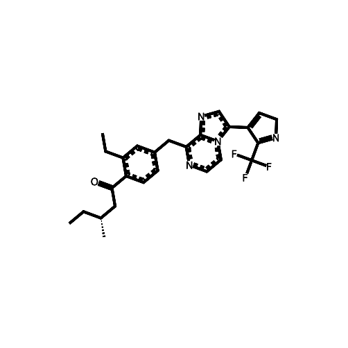 CCc1cc(Cc2nccn3c(C4=CCN=C4C(F)(F)F)cnc23)ccc1C(=O)C[C@H](C)CC